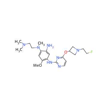 COc1cc(N(C)CCN(C)C)c(N)cc1Nc1nccc(OC2CN(CCF)C2)n1